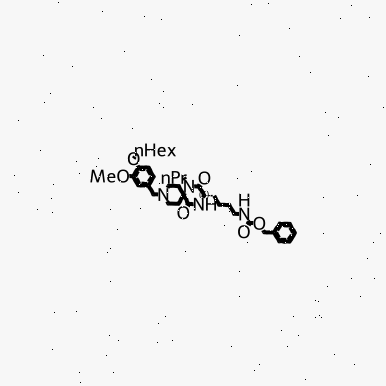 CCCCCCOc1ccc(CN2CCC3(CC2)C(=O)N[C@@H](CCCCNC(=O)OCc2ccccc2)C(=O)N3CCC)cc1OC